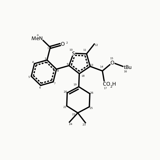 CNC(=O)c1ccccc1-c1sc(C)c(C(OC(C)(C)C)C(=O)O)c1C1=CCC(C)(C)CC1